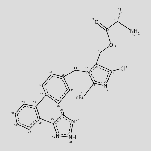 CCCCc1nc(Cl)c(COC(=O)[C@H](C)N)n1Cc1ccc(-c2ccccc2-c2nn[nH]n2)cc1